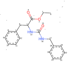 CCOC(=O)C(Cc1ccccc1)NC(=O)NCc1ccccc1